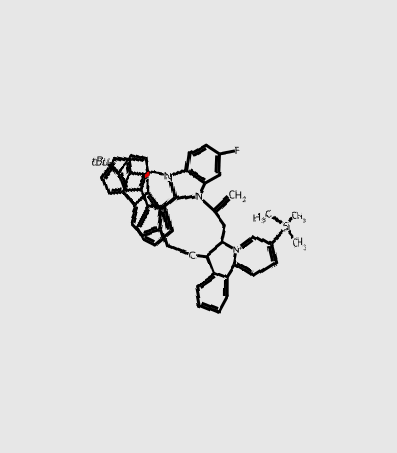 C=C1CC2C(CCc3ccc4c(oc5ccccc54)c3C3N1c1cc(F)ccc1N3c1ccc(C(C)(C)C)cc1-c1ccccc1)c1ccccc1-c1ccc([Si](C)(C)C)c[n+]12